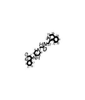 O=C(CN1CCC(Nc2cc(=O)oc3ccccc23)CC1)NCc1nccc2ccccc12